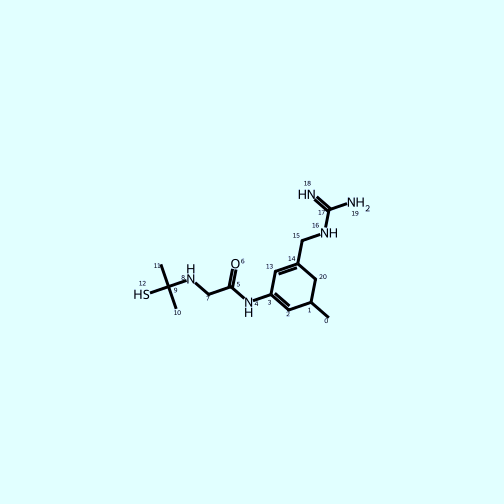 CC1C=C(NC(=O)CNC(C)(C)S)C=C(CNC(=N)N)C1